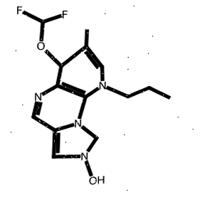 CCCN1C=C(C)C(OC(F)F)C2=C1N1CN(O)C=C1C=N2